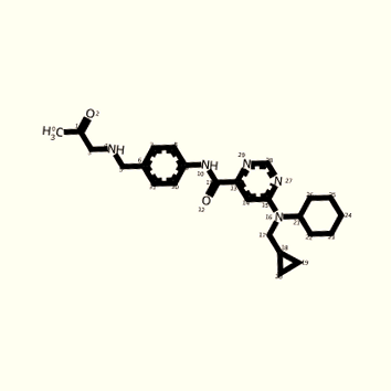 CC(=O)CNCc1ccc(NC(=O)c2cc(N(CC3CC3)C3CCCCC3)ncn2)cc1